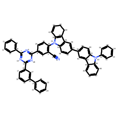 N#Cc1cc(-c2nc(-c3ccccc3)nc(-c3cccc(-c4ccccc4)c3)n2)ccc1-n1c2c(c3cc(-c4ccc5c(c4)c4ccccc4n5-c4ccccc4)ccc31)CCC=C2